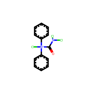 O=C(N(Cl)Cl)[N+](Cl)(c1ccccc1)c1ccccc1